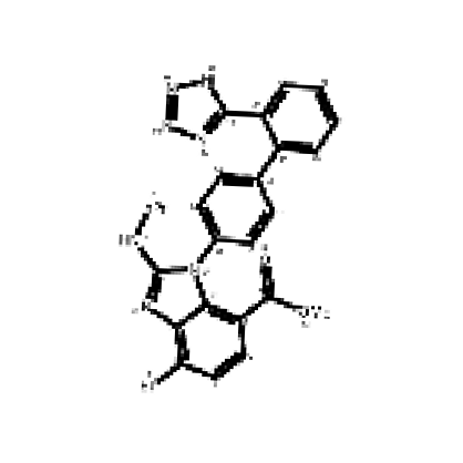 CCCNc1nc2c(CC)ccc(C(=O)OC)c2n1-c1ccc(-c2ccccc2-c2nnn[nH]2)cc1